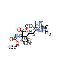 CCOC(=O)OC(=O)C(CC#N)(NC(=O)OC(C)(C)C)C(CC)CCCNC(C)=N